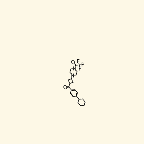 O=C(c1ccc(C2CCCCC2)cc1)C1CC(N2CCN(C(=O)C(F)(F)F)CC2)C1